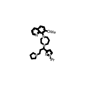 COc1ccc2cccnc2c1N1CCCN(C(CCN2CCCC2)c2ccn(C(C)C)n2)CC1